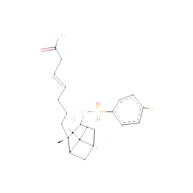 CC1(C)[C@H]2C[C@H](NS(=O)(=O)c3ccc(F)cc3)[C@@H](CCC/C=C/CC(=O)O)[C@@H]1C2